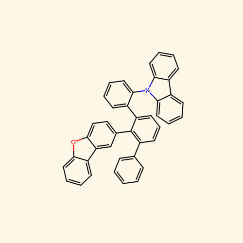 c1ccc(-c2cccc(-c3ccccc3-n3c4ccccc4c4ccccc43)c2-c2ccc3oc4ccccc4c3c2)cc1